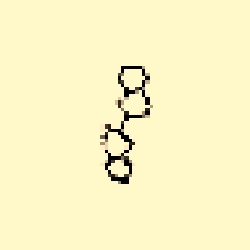 c1ccc2nnc(C3CCC4CCCCC4[N]3)cc2c1